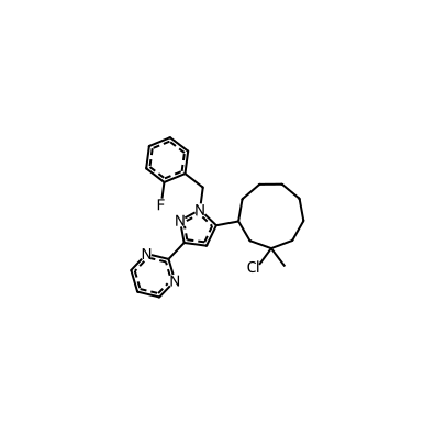 CC1(Cl)CCCCCCC(c2cc(-c3ncccn3)nn2Cc2ccccc2F)C1